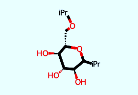 CC(C)OC[C@@H]1OC(C(C)C)[C@@H](O)[C@H](O)[C@H]1O